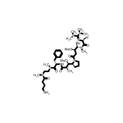 CC[C@H](C)[C@@H]([C@@H](CC(=O)N1CCC[C@H]1[C@H](OC)[C@@H](C)C(=O)N[C@@H](Cc1ccccc1)C(=O)N(C)CCN(C)C(=O)CCCN)OC)N(C)C(=O)[C@@H](N=C(N(C)C)N(C)C)C(C)C